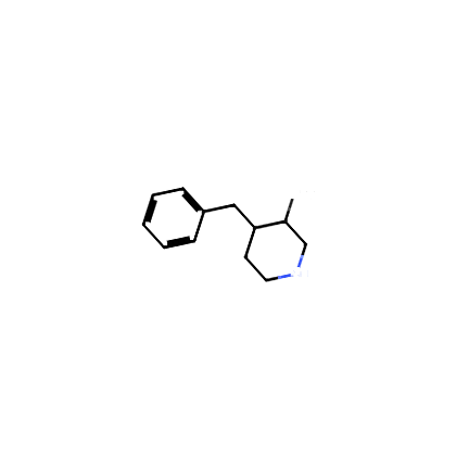 CCOC(=O)C1CNCCC1Cc1ccccc1